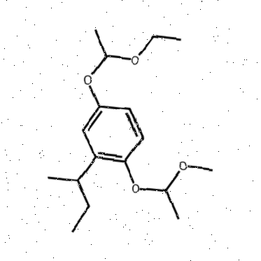 CCOC(C)Oc1ccc(OC(C)OC)c(C(C)CC)c1